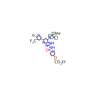 CCOC(=O)COc1ccc(C(=O)Nc2nc3nc(-c4cnc(C5CC5)c(C(F)(F)F)c4)cc(N(C)CC4(COC)CCCC4)c3[nH]2)nc1